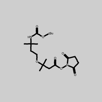 CC(C)(CCOC(C)(C)CC(=O)ON1C(=O)CCC1=O)NC(=O)OC(C)(C)C